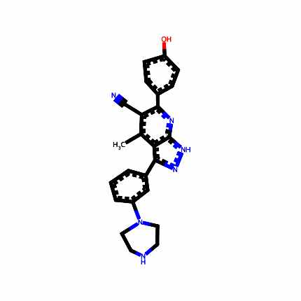 Cc1c(C#N)c(-c2ccc(O)cc2)nc2[nH]nc(-c3cccc(N4CCNCC4)c3)c12